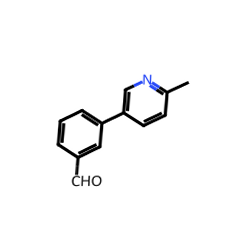 Cc1ccc(-c2cccc(C=O)c2)cn1